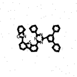 c1ccc(-c2cc(-c3ccccc3)cc(-c3nc(-c4ccccc4)nc(-c4cccc5c4sc4c(-c6nc7ccccc7o6)cccc45)n3)c2)cc1